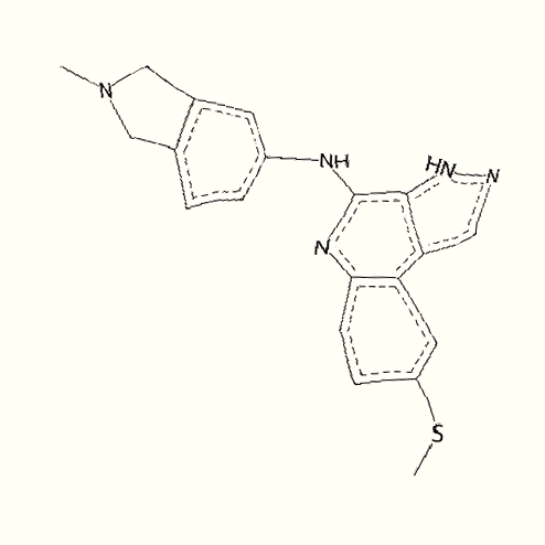 CSc1ccc2nc(Nc3ccc4c(c3)CN(C)C4)c3[nH]ncc3c2c1